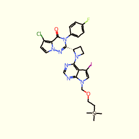 C[Si](C)(C)CCOCn1cc(I)c2c(N3CC[C@H]3c3nn4ccc(Cl)c4c(=O)n3-c3ccc(F)cc3)ncnc21